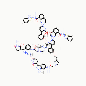 Cc1c(OCCC2CCN(CC(=O)Nc3ccc4c(C5CCC(=O)NC5=O)nn(C)c4c3)C2)cccc1-c1ccc(N2Cc3c(C(=O)Nc4nc5ccccc5s4)cccc3C(OC(=O)c3nc(N4CCc5cccc(C(=O)Nc6nc7ccccc7s6)c5C4)ccc3-c3cccc(OCCCN4CCN(CC(=O)Nc5cccc6c(C7CCC(=O)NC7=O)nn(C)c56)[C@H](C(F)(F)F)C4)c3C)C2)nc1C(=O)O